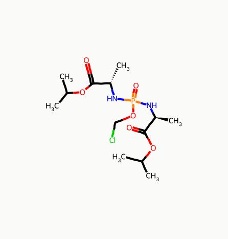 CC(C)OC(=O)[C@H](C)NP(=O)(N[C@@H](C)C(=O)OC(C)C)OCCl